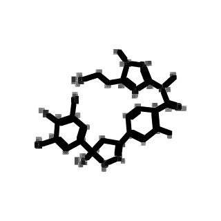 Cc1cc(C2=NOC(c3cc(Cl)c(F)c(Cl)c3)(C(F)(F)F)C2)ccc1C(=O)N(C)c1nc(CCC(F)(F)F)n(C)n1